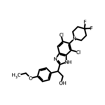 CCOc1ccc(C(CO)c2nc3cc(Cl)c(N4CCC(F)(F)CC4)c(Cl)c3[nH]2)cc1